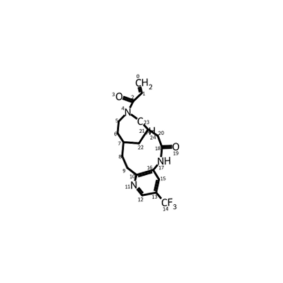 C=CC(=O)N1CCC2CCc3ncc(C(F)(F)F)cc3NC(=O)C[C@@H](C2)C1